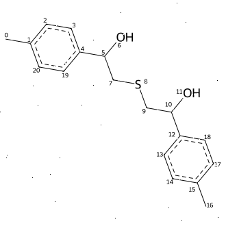 Cc1ccc(C(O)CSCC(O)c2ccc(C)cc2)cc1